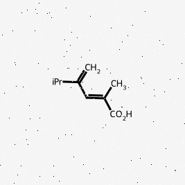 C=C(C=C(C)C(=O)O)C(C)C